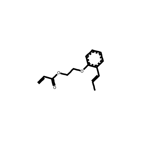 C=CC(=O)OCCOc1ccccc1C=CC